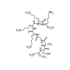 C[C@H](NC(=O)[C@@H](NC(=O)CN)[C@@H](C)O)C(=O)NCC(=O)N[C@@H](CCCCN)C(=O)N[C@@H](CCCCN)C(=O)N[C@@H](CCCCN)C(=O)N[C@@H](CCCCN)C(=O)O